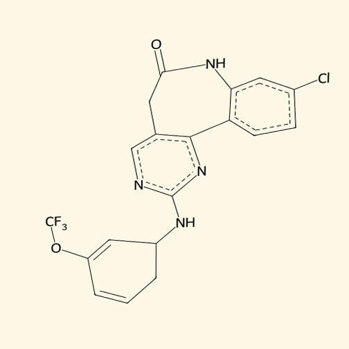 O=C1Cc2cnc(NC3C=C(OC(F)(F)F)C=CC3)nc2-c2ccc(Cl)cc2N1